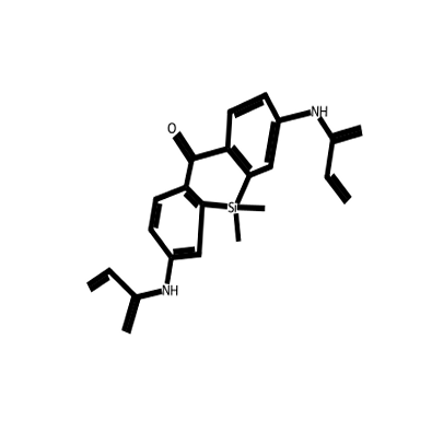 C=CC(=C)Nc1ccc2c(c1)[Si](C)(C)c1cc(NC(=C)C=C)ccc1C2=O